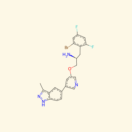 Cc1n[nH]c2ccc(-c3cncc(OC[C@@H](N)Cc4c(F)cc(F)cc4Br)c3)cc12